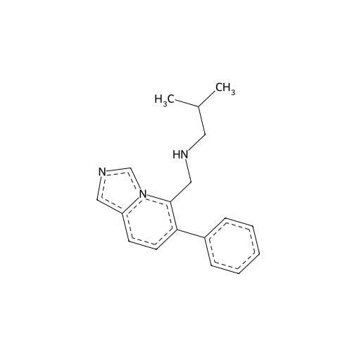 CC(C)CNCc1c(-c2ccccc2)ccc2cncn12